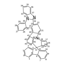 c1ccc2c(c1)-c1ccccc1C21c2ccccc2-n2c3ccc4c(c5ccccc5n5c6ccccc6nc45)c3c3cccc1c32